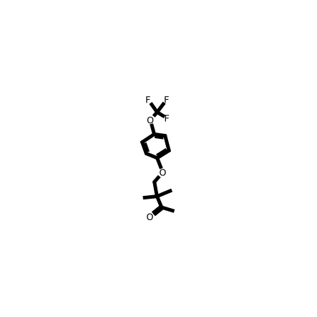 CC(=O)C(C)(C)COc1ccc(OC(F)(F)F)cc1